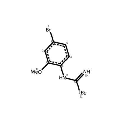 COc1cc(Br)ccc1NC(=N)C(C)(C)C